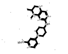 COc1cc(N2CCC(Nc3ncc4c(n3)N(C)C(C)CO4)CC2)ccn1